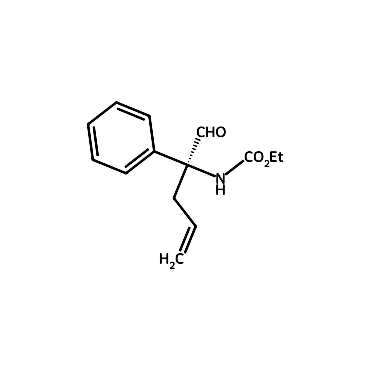 C=CC[C@](C=O)(NC(=O)OCC)c1ccccc1